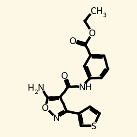 CCOC(=O)c1cccc(NC(=O)c2c(-c3ccsc3)noc2N)c1